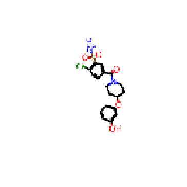 NS(=O)(=O)c1cc(C(=O)N2CCC(Oc3cccc(O)c3)CC2)ccc1Cl